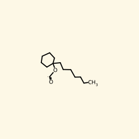 CCCCCCCC1(O[C]=O)CCCCC1